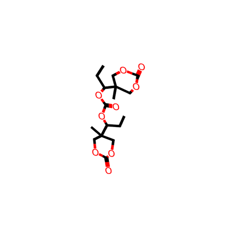 CCC(OC(=O)OC(CC)C1(C)COC(=O)OC1)C1(C)COC(=O)OC1